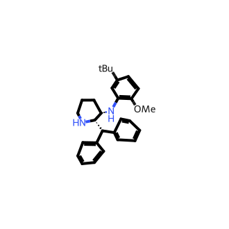 COc1ccc(C(C)(C)C)cc1N[C@H]1CCCN[C@H]1C(c1ccccc1)c1ccccc1